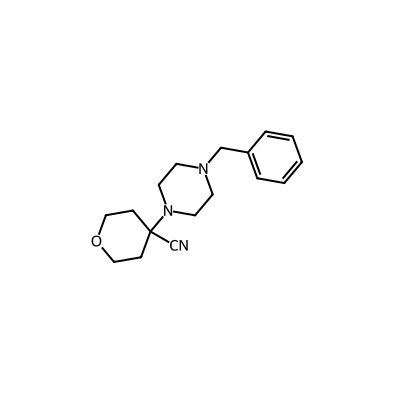 N#CC1(N2CCN(Cc3ccccc3)CC2)CCOCC1